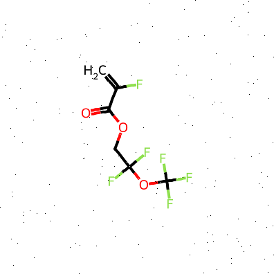 C=C(F)C(=O)OCC(F)(F)OC(F)(F)F